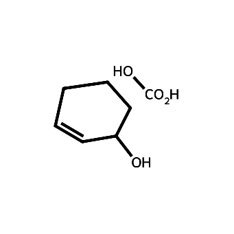 O=C(O)O.OC1C=CCCC1